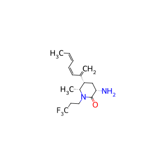 C=C(/C=C\C=C/C)[C@@H]1C[C@H](N)C(=O)N(CCC(F)(F)F)[C@@H]1C